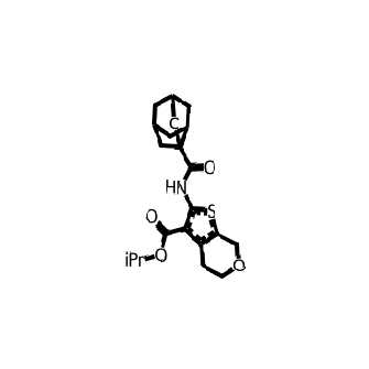 CC(C)OC(=O)c1c(NC(=O)C23CC4CC(CC2C4)C3)sc2c1CCOC2